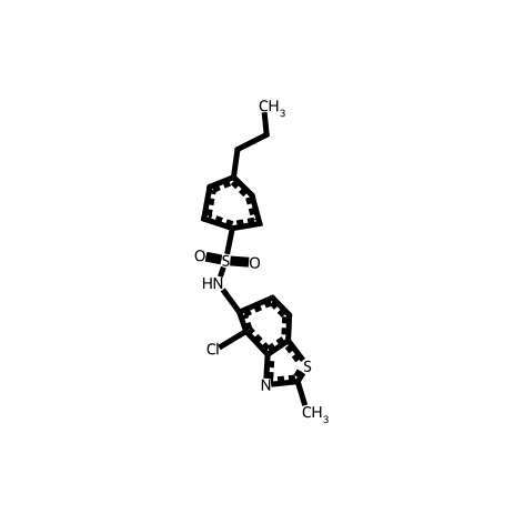 CCCc1ccc(S(=O)(=O)Nc2ccc3sc(C)nc3c2Cl)cc1